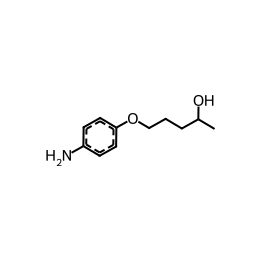 CC(O)CCCOc1ccc(N)cc1